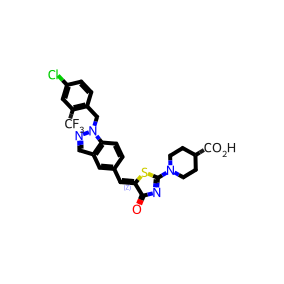 O=C1N=C(N2CCC(C(=O)O)CC2)S/C1=C\c1ccc2c(cnn2Cc2ccc(Cl)cc2C(F)(F)F)c1